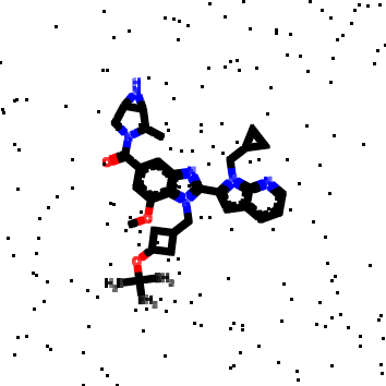 BC(B)(B)OC1CC(Cn2c(-c3cc4cccnc4n3CC3CC3)nc3cc(C(=O)N4CC5NC5C4C)cc(OC)c32)C1